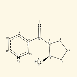 C[C@@H]1CCCN1C(=O)c1cccnc1